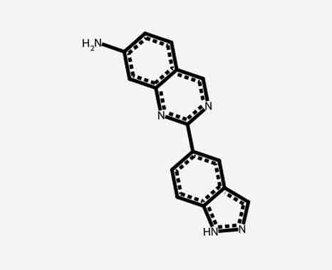 Nc1ccc2cnc(-c3ccc4[nH]ncc4c3)nc2c1